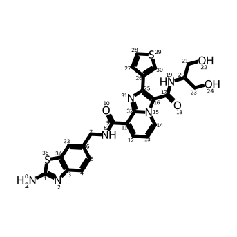 Nc1nc2ccc(CNC(=O)c3cccn4c(C(=O)NC(CO)CO)c(-c5ccsc5)nc34)cc2s1